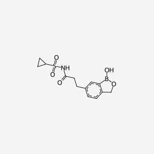 O=C(CCc1ccc2c(c1)B(O)OC2)NS(=O)(=O)C1CC1